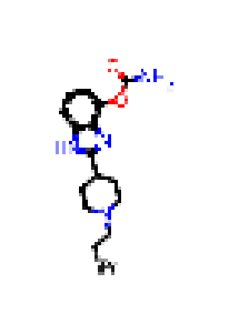 CC(C)CCN1CCC(c2nc3c(OC(N)=O)cccc3[nH]2)CC1